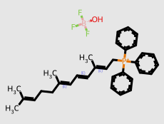 CC(C)=CCC/C(C)=C/C=C/C(C)=C/C[P+](c1ccccc1)(c1ccccc1)c1ccccc1.O[B-](F)(F)F